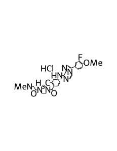 CNCC(=O)N1CCN(C(=O)c2ccc(Nc3nccn4c(-c5ccc(OC)c(F)c5)cnc34)cc2C)CC1.Cl